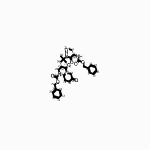 CC(C)C[C@H](NC(=O)OCc1ccccc1)C(=O)NC(C)(C)C[C@@H](CNC(=O)OCc1ccccc1)C(=O)N1CCCC(=O)C1